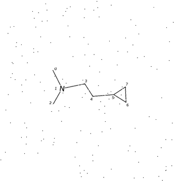 CN(C)CCC1CC1